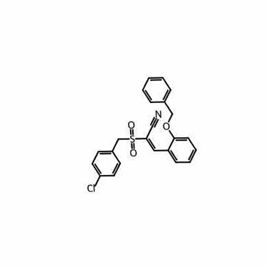 N#CC(=Cc1ccccc1OCc1ccccc1)S(=O)(=O)Cc1ccc(Cl)cc1